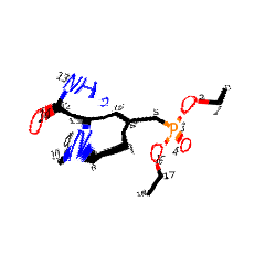 CCOP(=O)(CC1CCN(C)C(C(N)=O)C1)OCC